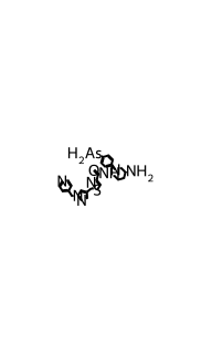 N[C@@H]1CCCN(c2ccc([AsH2])cc2NC(=O)c2csc(-c3cnn(Cc4ccncc4)c3)n2)C1